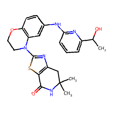 CC(O)c1cccc(Nc2ccc3c(c2)N(c2nc4c(s2)C(=O)NC(C)(C)C4)CCO3)n1